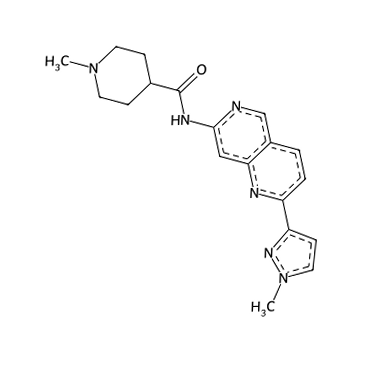 CN1CCC(C(=O)Nc2cc3nc(-c4ccn(C)n4)ccc3cn2)CC1